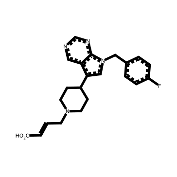 O=C(O)/C=C/CN1CCC(c2cn(Cc3ccc(F)cc3)c3ncncc23)CC1